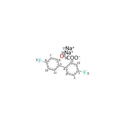 Fc1ccc(-c2ccc(F)cc2)cc1.O=C([O-])[O-].[Na+].[Na+]